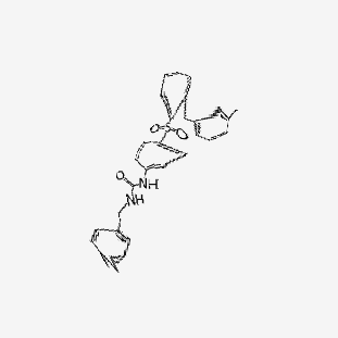 Cc1cccc(-c2ccccc2S(=O)(=O)c2ccc(NC(=O)NCc3ccncc3)cc2)c1